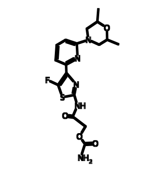 CC1CN(c2cccc(-c3nc(NC(=O)COC(N)=O)sc3F)n2)CC(C)O1